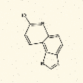 Oc1ccc2c(ccc3nc[nH]c32)n1